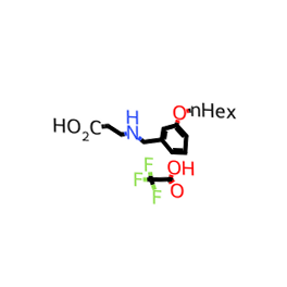 CCCCCCOc1cccc(CNCCC(=O)O)c1.O=C(O)C(F)(F)F